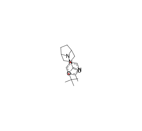 Cc1ccc(N2C3CCC2CN(C(=O)OC(C)(C)C)C3)cn1